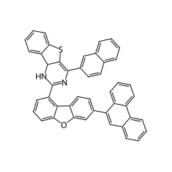 c1ccc2c(c1)SC1=C(c3ccc4ccccc4c3)N=C(c3cccc4oc5cc(-c6cc7ccccc7c7ccccc67)ccc5c34)NC12